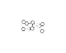 c1ccc(-c2nc(-n3c4cccc5c6cc7ccccc7cc6n6c(-c7ccccc7)nc7ccc3c(c54)c76)nc3ccccc23)cc1